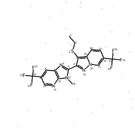 CCSc1c(-c2nc3cc(C(F)(F)F)cnc3n2C)nn2cc(C(F)(F)F)ccc12